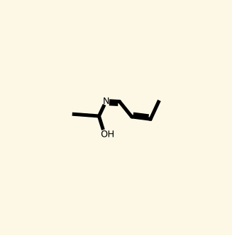 C/C=C\C=N/C(C)O